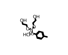 Cc1cc[c]([Sn][N](OCCO)OCCO)cc1.Cl